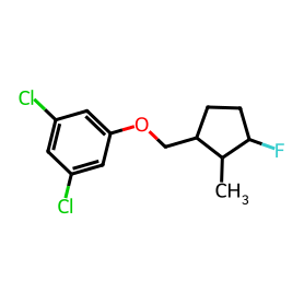 CC1C(F)CCC1COc1cc(Cl)cc(Cl)c1